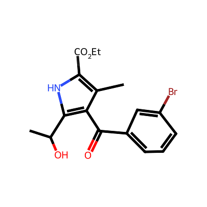 CCOC(=O)c1[nH]c(C(C)O)c(C(=O)c2cccc(Br)c2)c1C